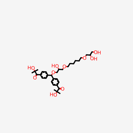 CC(C)(O)C(=O)c1ccc(C(OCC(O)COCCCCCCOCC(O)CO)c2ccc(C(=O)C(C)(C)O)cc2)cc1